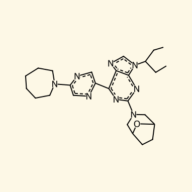 CCC(CC)n1cnc2c(-c3cnc(N4CCCCCC4)cn3)nc(N3CC4CCC(C3)O4)nc21